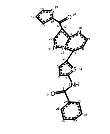 O=C(Nc1ccc(-c2ccnc3c(C(=O)c4cccs4)cnn23)s1)c1ccccc1